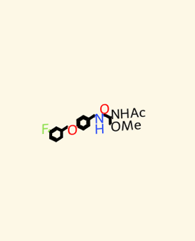 COC[C@H](NC(C)=O)C(=O)NCc1ccc(OCC2C=C(F)C=CC2)cc1